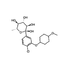 COC1CCC(Oc2cc([C@]3(O)O[C@H](C)[C@@H](O)[C@H](O)[C@H]3O)ccc2Cl)CC1